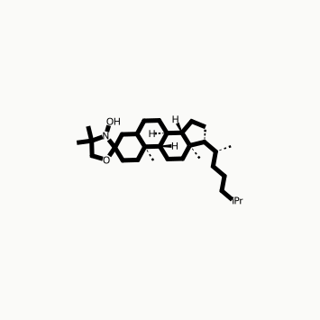 CC(C)CCC[C@@H](C)[C@H]1CC[C@H]2[C@@H]3CCC4CC5(CC[C@]4(C)[C@H]3CC[C@]12C)OCC(C)(C)N5O